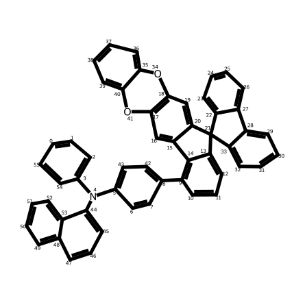 c1ccc(N(c2ccc(-c3cccc4c3-c3cc5c(cc3C43c4ccccc4-c4ccccc43)Oc3ccccc3O5)cc2)c2cccc3ccccc23)cc1